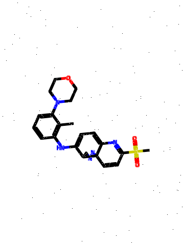 Cc1c(NC2=CC=C3N=C(S(C)(=O)=O)C=CC34N=NCC24)cccc1N1CCOCC1